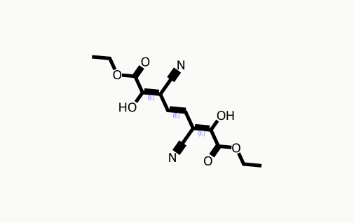 CCOC(=O)/C(O)=C(C#N)/C=C/C(C#N)=C(\O)C(=O)OCC